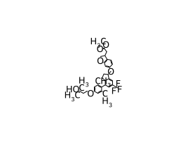 COC(=O)CC1COc2cc(O[C@@H]3CCc4c(-c5c(C)cc(OCCC(C)(C)O)cc5C)cc(C(F)(F)F)cc43)ccc21